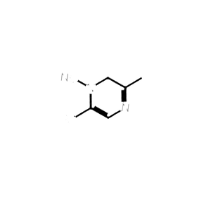 CC1=NC=C(Cl)N(C#N)C1